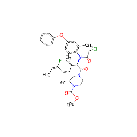 C=C(/C=C\C(F)=C/C)[C@H](C(=O)N1CCN(C(=O)OC(C)(C)C)[C@H](C(C)C)C1)N(C(=O)CCl)c1ccc(Oc2ccccc2)cc1C